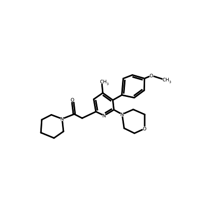 COc1ccc(-c2c(C)cc(CC(=O)N3CCCCC3)nc2N2CCOCC2)cc1